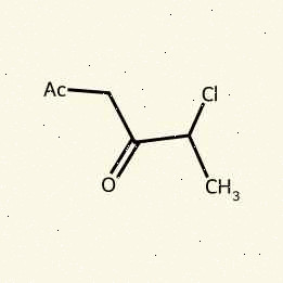 CC(=O)CC(=O)C(C)Cl